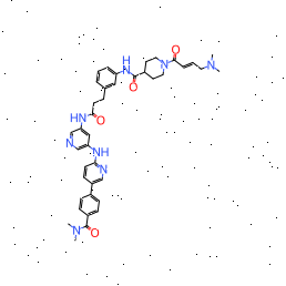 CN(C)CC=CC(=O)N1CCC(C(=O)Nc2cccc(CCC(=O)Nc3cncc(Nc4ccc(-c5ccc(C(=O)N(C)C)cc5)cn4)c3)c2)CC1